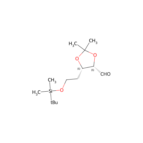 CC1(C)O[C@@H](CCO[Si](C)(C)C(C)(C)C)[C@@H](C=O)O1